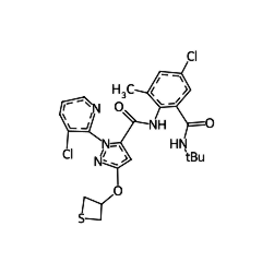 Cc1cc(Cl)cc(C(=O)NC(C)(C)C)c1NC(=O)c1cc(OC2CSC2)nn1-c1ncccc1Cl